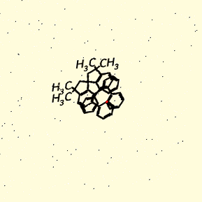 CC1(C)CC2(CC(C)(C)c3ccc(-c4ccccc4)c(-c4ccccc4)c32)c2c1ccc(-c1ccccc1)c2-c1ccccc1